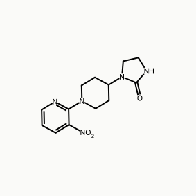 O=C1NCCN1C1CCN(c2ncccc2[N+](=O)[O-])CC1